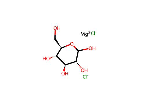 OC[C@H]1OC(O)[C@H](O)[C@@H](O)[C@@H]1O.[Cl-].[Cl-].[Mg+2]